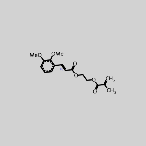 C=C(C)C(=O)OCCOC(=O)/C=C/c1cccc(OC)c1OC